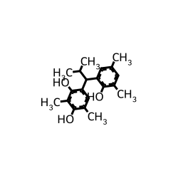 Cc1cc(C)c(O)c(C(c2cc(C)c(O)c(C)c2O)C(C)C)c1